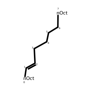 CCCCCCCC/C=C/CCCCCCCCCCCC